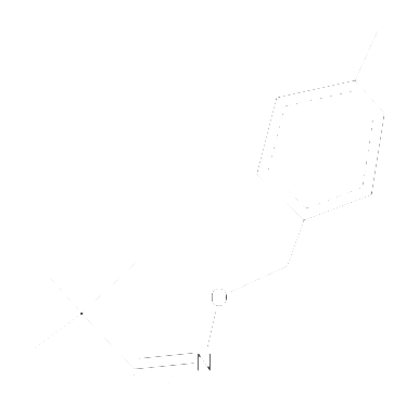 Cc1ccc(CO/N=[C]\C(C)(C)C)cc1